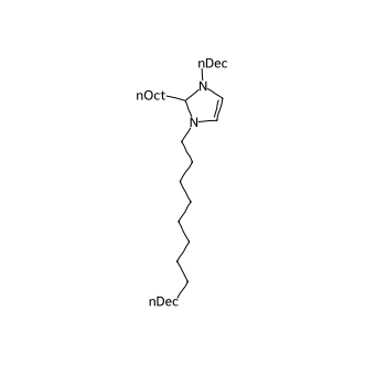 CCCCCCCCCCCCCCCCCCN1C=CN(CCCCCCCCCC)C1CCCCCCCC